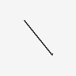 [CH2]CCCCCCCCCCCCCCCCCCCCCCCCCCCCCCCCCCCCCCCCC(C)C